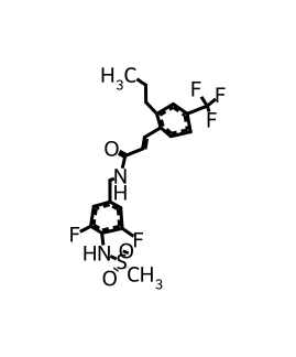 CCCc1cc(C(F)(F)F)ccc1/C=C/C(=O)NCc1cc(F)c(NS(C)(=O)=O)c(F)c1